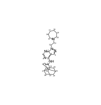 O=C(Nc1ncnc2c1cnn2CCN1CCCCCC1)C12CC3CC(CC(C3)C1)C2